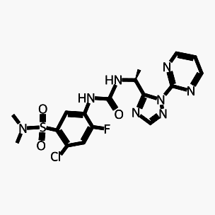 C[C@H](NC(=O)Nc1cc(S(=O)(=O)N(C)C)c(Cl)cc1F)c1ncnn1-c1ncccn1